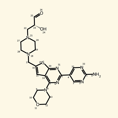 Nc1ncc(-c2nc(N3CCOCC3)c3cc(CN4CCN(C[C@@H](O)C=O)CC4)sc3n2)cn1